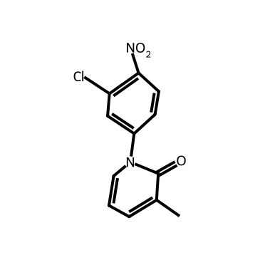 Cc1cccn(-c2ccc([N+](=O)[O-])c(Cl)c2)c1=O